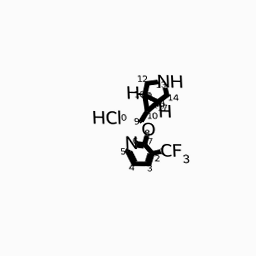 Cl.FC(F)(F)c1cccnc1OCC1[C@H]2CNC[C@@H]12